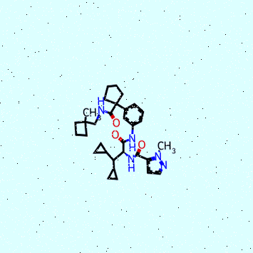 Cn1nccc1C(=O)N[C@H](C(=O)Nc1cccc(C2(C(=O)NCC3(C)CCC3)CCCC2)c1)C(C1CC1)C1CC1